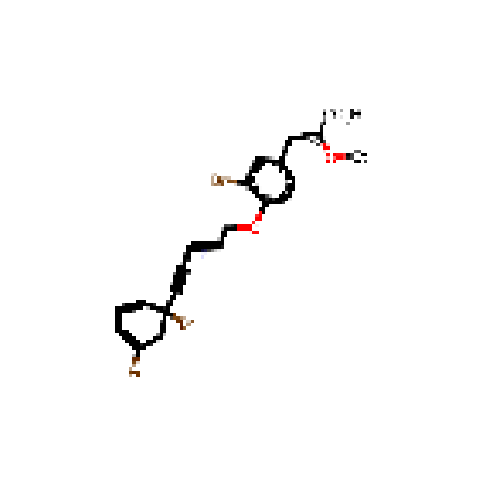 CCO[C@@H](Cc1ccc(OC/C=C/C#CC2(Br)C=CC=C(Br)C2)c(Br)c1)C(=O)O